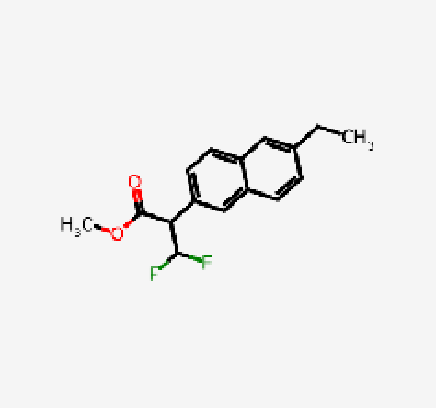 CCc1ccc2cc(C(C(=O)OC)C(F)F)ccc2c1